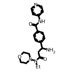 CCN(C(=O)CC(N)c1ccc(C(=O)Nc2ccncc2)cc1)N1CCOCC1